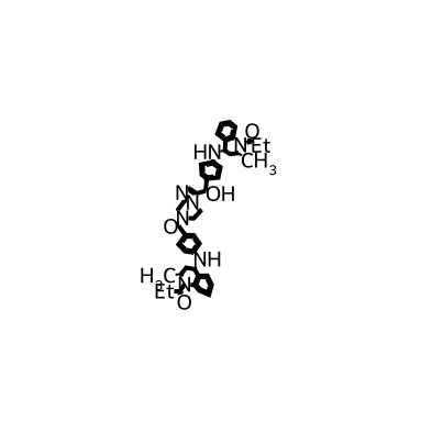 CCC(=O)N1c2ccccc2[C@H](Nc2ccc(C(=O)N3CCn4c(C(O)c5ccc(N[C@@H]6C[C@H](C)N(C(=O)CC)c7ccccc76)cc5)cnc4C3)cc2)C[C@@H]1C